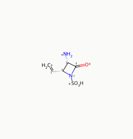 C=C[C@@H]1[C@H](N)C(=O)N1S(=O)(=O)O